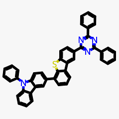 c1ccc(-c2nc(-c3ccccc3)nc(-c3ccc4sc5c(-c6ccc7c(c6)c6ccccc6n7-c6ccccc6)cccc5c4c3)n2)cc1